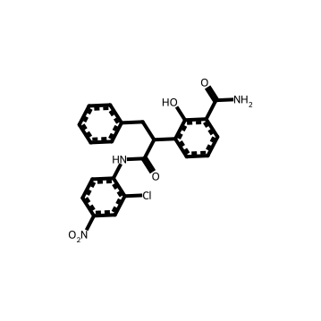 NC(=O)c1cccc(C(Cc2ccccc2)C(=O)Nc2ccc([N+](=O)[O-])cc2Cl)c1O